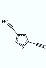 C#Cc1csc(C#C)c1